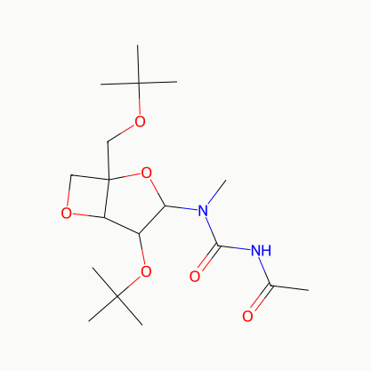 CC(=O)NC(=O)N(C)C1OC2(COC(C)(C)C)COC2C1OC(C)(C)C